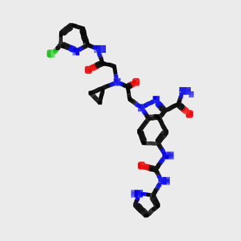 NC(=O)c1nn(CC(=O)N(CC(=O)Nc2cccc(Cl)n2)C2CC2)c2ccc(NC(=O)Nc3ccc[nH]3)cc12